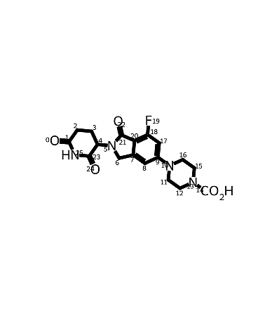 O=C1CCC(N2Cc3cc(N4CCN(C(=O)O)CC4)cc(F)c3C2=O)C(=O)N1